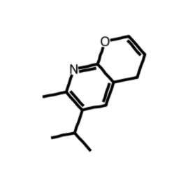 Cc1nc2c(cc1C(C)C)CC=CO2